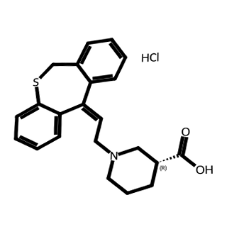 Cl.O=C(O)[C@@H]1CCCN(CC=C2c3ccccc3CSc3ccccc32)C1